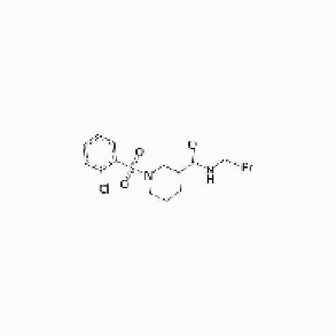 CC(C)CNC(=O)C1CCCN(S(=O)(=O)c2ccccc2Cl)C1